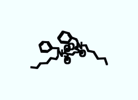 CCCCCCN(Cc1ccccc1)S(=O)(=O)CS(=O)(=O)N(CCCCCC)Cc1ccccc1